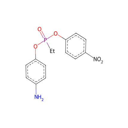 CCP(=O)(Oc1ccc(N)cc1)Oc1ccc([N+](=O)[O-])cc1